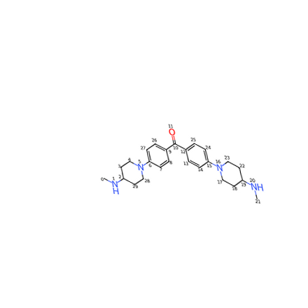 CNC1CCN(c2ccc(C(=O)c3ccc(N4CCC(NC)CC4)cc3)cc2)CC1